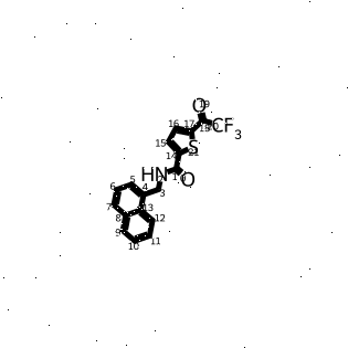 O=C(NCc1cccc2ccccc12)c1ccc(C(=O)C(F)(F)F)s1